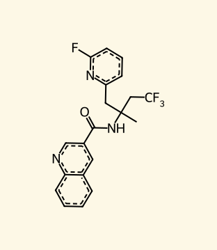 CC(Cc1cccc(F)n1)(CC(F)(F)F)NC(=O)c1cnc2ccccc2c1